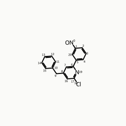 O=Nc1cccc(-c2cc(Cc3ccccc3)cc(Cl)n2)c1